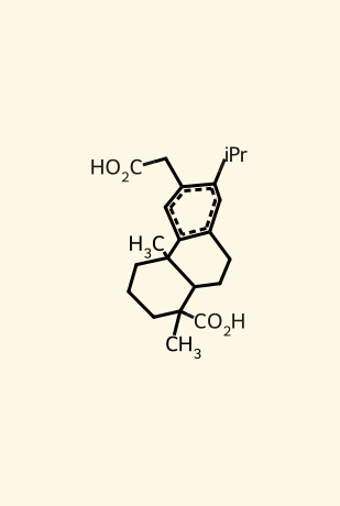 CC(C)c1cc2c(cc1CC(=O)O)C1(C)CCCC(C)(C(=O)O)C1CC2